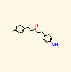 Cc1ccc(CCC(=O)CCc2ccc(N)cc2)cc1